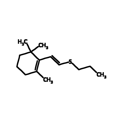 CCCSC=CC1=C(C)CCCC1(C)C